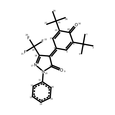 CC(C)(C)C1=CC(=C2C(=O)N(c3ccccc3)N=C2C(F)(F)F)C=C(C(C)(C)C)C1=O